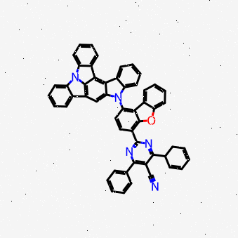 N#Cc1c(-c2ccccc2)nc(-c2ccc(-n3c4ccccc4c4c5c6ccccc6n6c7ccccc7c(cc43)c56)c3c2oc2ccccc23)nc1C1C=CC=CC1